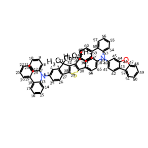 CC1(C)c2cc(N(c3ccccc3)c3ccccc3-c3ccccc3)ccc2-c2sc3c(c21)C(C)(C)c1cc(N(c2ccc4c(c2)oc2ccccc24)c2ccccc2-c2ccccc2)ccc1-3